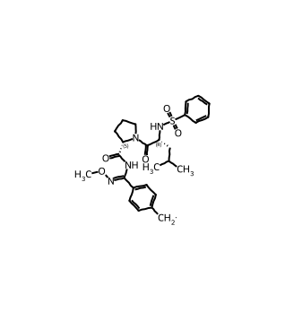 [CH2]c1ccc(C(=NOC)NC(=O)[C@@H]2CCCN2C(=O)[C@@H](CC(C)C)NS(=O)(=O)c2ccccc2)cc1